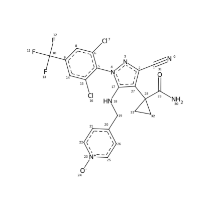 N#Cc1nn(-c2c(Cl)cc(C(F)(F)F)cc2Cl)c(NCc2cc[n+]([O-])cc2)c1C1(C(N)=O)CC1